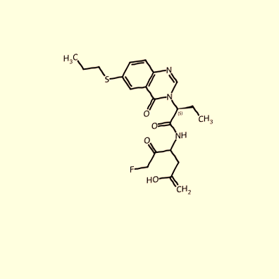 C=C(O)CC(NC(=O)[C@H](CC)n1cnc2ccc(SCCC)cc2c1=O)C(=O)CF